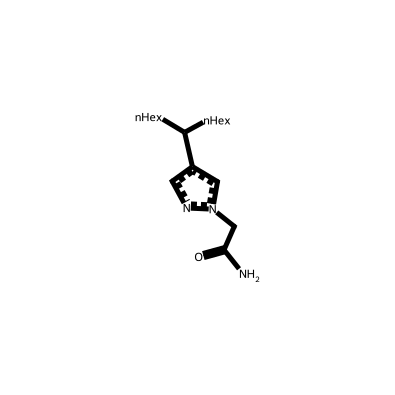 CCCCCCC(CCCCCC)c1cnn(CC(N)=O)c1